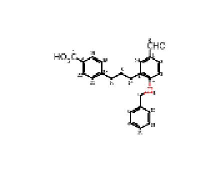 O=Cc1ccc(OCc2ccccc2)c(CCCc2ccc(C(=O)O)cc2)c1